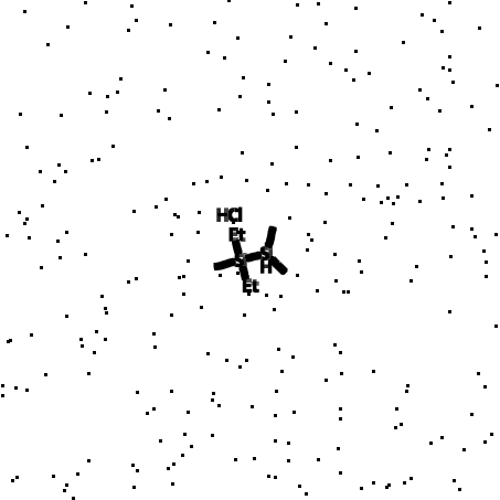 CC[Si](C)(CC)[SiH](C)C.Cl